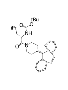 CC(C)C[C@H](NC(=O)OC(C)(C)C)C(=O)N1CCC(=C2c3ccccc3C=Cc3ccccc32)CC1